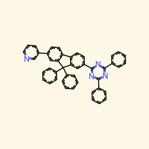 c1ccc(-c2nc(-c3ccccc3)nc(-c3ccc4c(c3)C(c3ccccc3)(c3ccccc3)c3cc(-c5cccnc5)ccc3-4)n2)cc1